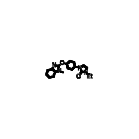 CCn1ccn(-c2ccc(Oc3nc4ccccc4n3C)cc2)c1=O